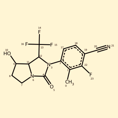 Cc1c(N2C(=O)N3CCC(O)C3C2C(F)(F)F)ccc(C#N)c1F